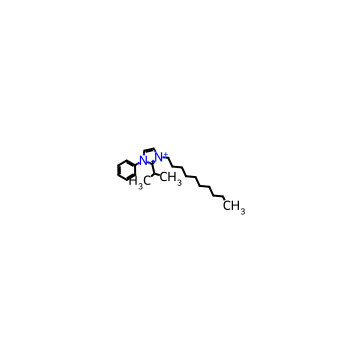 CCCCCCCCCC[n+]1ccn(-c2ccccc2)c1C(C)C